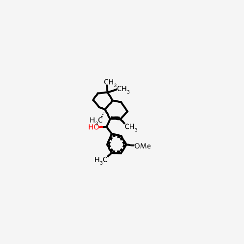 COc1cc(C)cc(C(O)C2=C(C)CCC3C(C)(C)CCC[C@]23C)c1